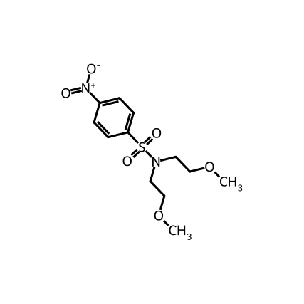 COCCN(CCOC)S(=O)(=O)c1ccc([N+](=O)[O-])cc1